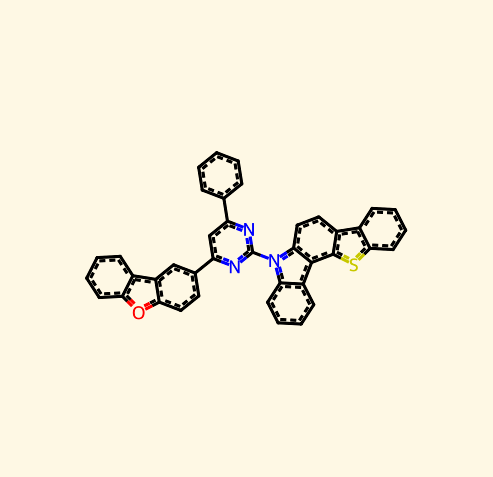 c1ccc(-c2cc(-c3ccc4oc5ccccc5c4c3)nc(-n3c4ccccc4c4c5sc6ccccc6c5ccc43)n2)cc1